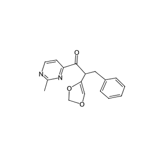 Cc1nccc(C(=O)C(Cc2ccccc2)C2=COCO2)n1